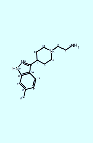 NCCN1CCC(c2n[nH]c3cc(F)ccc23)CC1